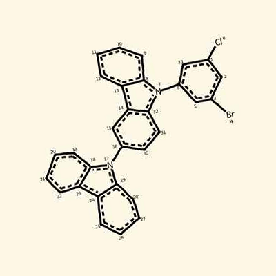 Clc1cc(Br)cc(-n2c3ccccc3c3cc(-n4c5ccccc5c5ccccc54)ccc32)c1